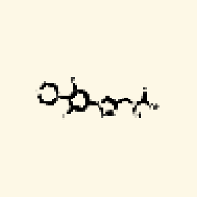 O=C(O)N(S)Cc1cn(-c2cc(F)c(N3CCSCC3)c(F)c2)nn1